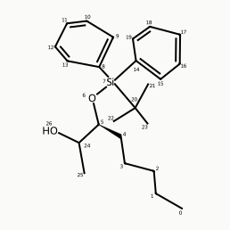 CCCCC[C@H](O[Si](c1ccccc1)(c1ccccc1)C(C)(C)C)C(C)O